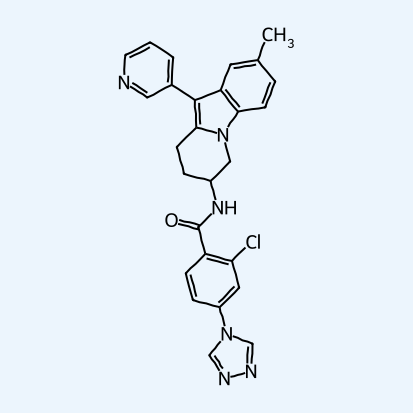 Cc1ccc2c(c1)c(-c1cccnc1)c1n2CC(NC(=O)c2ccc(-n3cnnc3)cc2Cl)CC1